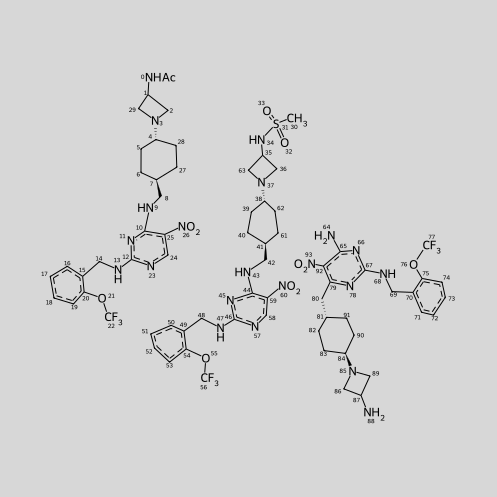 CC(=O)NC1CN([C@H]2CC[C@H](CNc3nc(NCc4ccccc4OC(F)(F)F)ncc3[N+](=O)[O-])CC2)C1.CS(=O)(=O)NC1CN([C@H]2CC[C@H](CNc3nc(NCc4ccccc4OC(F)(F)F)ncc3[N+](=O)[O-])CC2)C1.Nc1nc(NCc2ccccc2OC(F)(F)F)nc(C[C@H]2CC[C@H](N3CC(N)C3)CC2)c1[N+](=O)[O-]